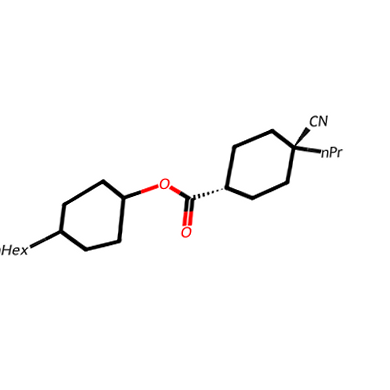 CCCCCCC1CCC(OC(=O)[C@H]2CC[C@@](C#N)(CCC)CC2)CC1